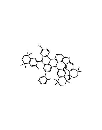 Cc1ccccc1-c1cc2c3c(c1)N(c1cc4c(cc1C)C(C)(C)CCC4(C)C)c1c(ccc4oc5cc6c(cc5c14)C(C)(C)CCC6(C)C)B3c1ccc(Cl)cc1N2c1cc2c(cc1C)C(C)(C)CCC2(C)C